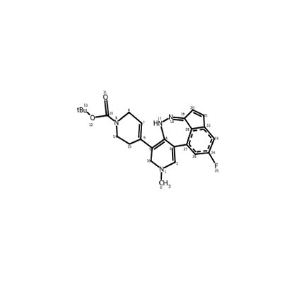 CN1C=C2C(=C(C3=CCN(C(=O)OC(C)(C)C)CC3)C1)NN=C1C=Cc3cc(F)cc2c31